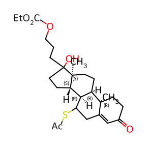 CCOC(=O)OCCCC1(O)CC[C@H]2[C@@H]3C(SC(C)=O)CC4=CC(=O)CC[C@]4(C)[C@@H]3CC[C@@]21C